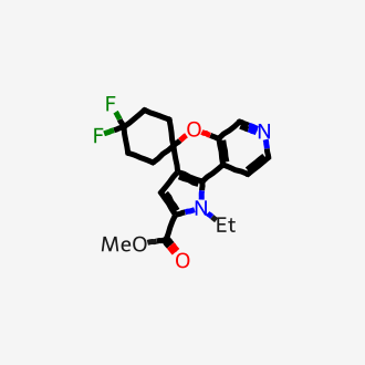 CCn1c(C(=O)OC)cc2c1-c1ccncc1OC21CCC(F)(F)CC1